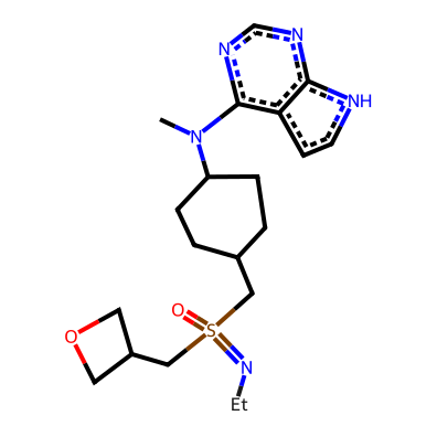 CCN=S(=O)(CC1CCC(N(C)c2ncnc3[nH]ccc23)CC1)CC1COC1